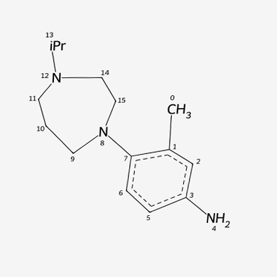 Cc1cc(N)ccc1N1CCCN(C(C)C)CC1